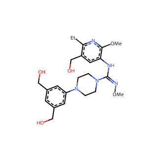 CCc1nc(OC)c(NC(=NOC)N2CCN(c3cc(CO)cc(CO)c3)CC2)cc1CO